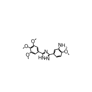 COc1ccc(-c2n[nH]c(-c3cc(OC)c(OC)c(OC)c3)n2)cc1N